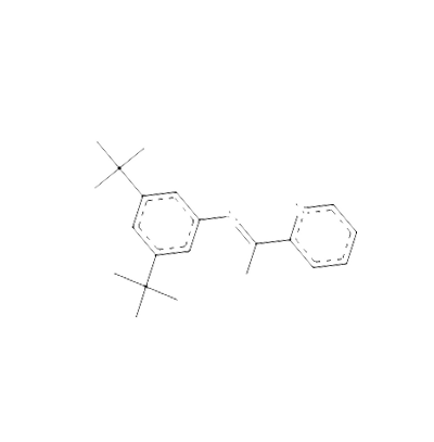 C/C(=N\c1cc(C(C)(C)C)cc(C(C)(C)C)c1)c1ccccn1